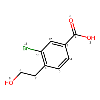 O=C(O)c1ccc(CCO)c(Br)c1